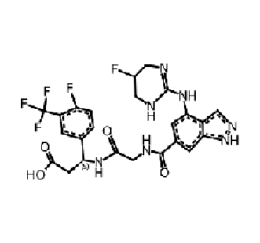 O=C(O)C[C@H](NC(=O)CNC(=O)c1cc(NC2=NCC(F)CN2)c2cn[nH]c2c1)c1ccc(F)c(C(F)(F)F)c1